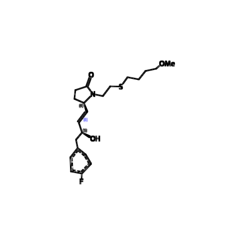 COCCCCSCCN1C(=O)CC[C@@H]1/C=C/[C@@H](O)Cc1ccc(F)cc1